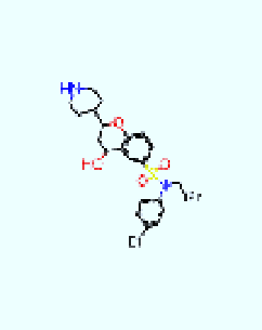 CCc1ccc(N(CC(C)C)S(=O)(=O)c2ccc3c(c2)C(O)CC(C2CCNCC2)O3)cc1